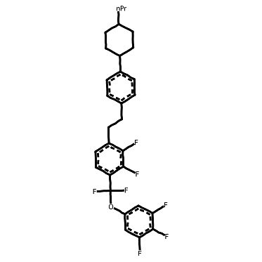 CCCC1CCC(c2ccc(CCc3ccc(C(F)(F)Oc4cc(F)c(F)c(F)c4)c(F)c3F)cc2)CC1